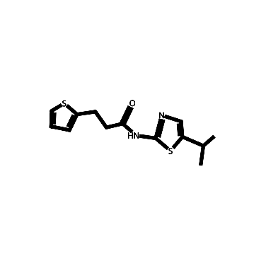 CC(C)c1cnc(NC(=O)CCc2cccs2)s1